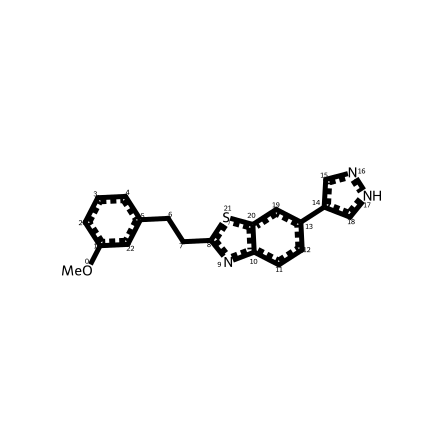 COc1cccc(CCc2nc3ccc(-c4cn[nH]c4)cc3s2)c1